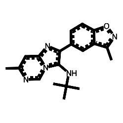 Cc1cc2nc(-c3ccc4onc(C)c4c3)c(NC(C)(C)C)n2cn1